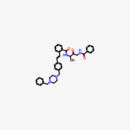 CCCC(NC(=O)c1ccccc1C=Cc1ccc(CN2CCN(Cc3ccccc3)CC2)cc1)C(=O)CNC(=O)c1ccccc1